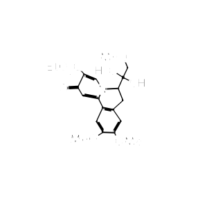 CCOC(=O)c1cn2c(cc1=O)-c1cc(OC)c(OC)cc1CC2C(C)(C)COC